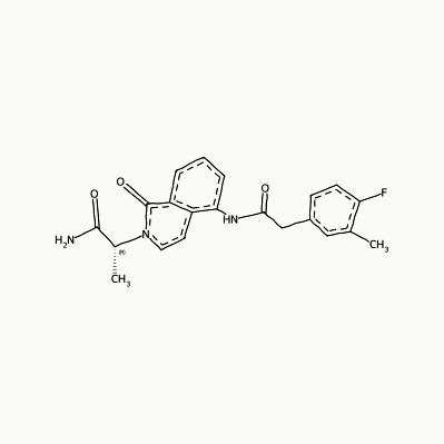 Cc1cc(CC(=O)Nc2cccc3c(=O)n([C@H](C)C(N)=O)ccc23)ccc1F